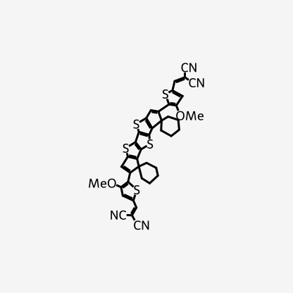 COc1cc(C=C(C#N)C#N)sc1C1=Cc2sc3c(sc4c5c(sc43)C=C(c3sc(C=C(C#N)C#N)cc3OC)C53CCCCC3)c2C12CCCCC2